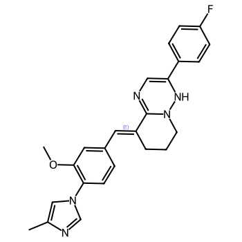 COc1cc(/C=C2\CCCN3NC(c4ccc(F)cc4)=CN=C23)ccc1-n1cnc(C)c1